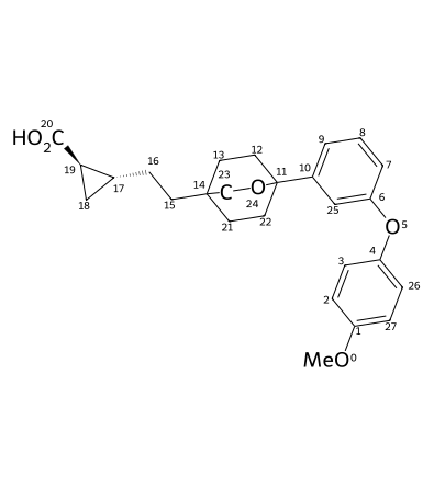 COc1ccc(Oc2cccc(C34CCC(CC[C@@H]5C[C@H]5C(=O)O)(CC3)CO4)c2)cc1